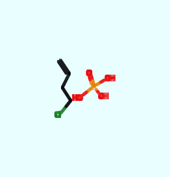 C=CCCCl.O=P(O)(O)O